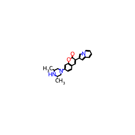 CC1CN(c2ccc3cc(-c4cc5ccccn5c4)c(=O)oc3c2)C[C@H](C)N1